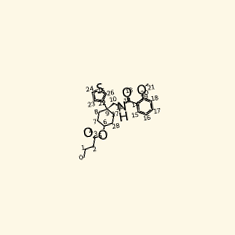 CCCC(=O)O[C@H]1CC[C@](CNC(=O)c2ccccc2OC)(c2ccsc2)CC1